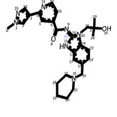 Cn1cc(-c2cc(C(=O)/N=c3\[nH]c4cc(CN5CCCCC5)ccc4n3CC(C)(C)O)ccn2)cn1